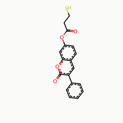 O=C(CCS)Oc1ccc2cc(-c3ccccc3)c(=O)oc2c1